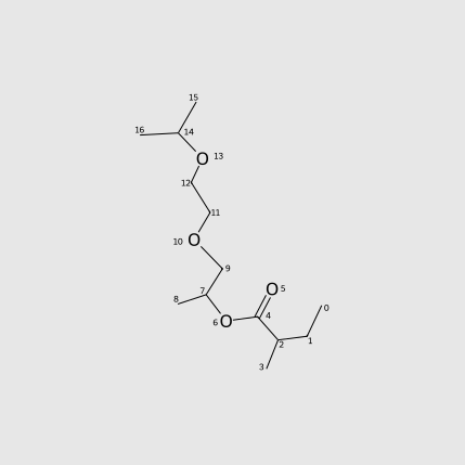 CCC(C)C(=O)OC(C)COCCOC(C)C